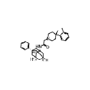 Cc1ccccc1C1(C)CCN(CC(=O)N[C@@]23C[C@H]4C[C@@H](C2)C[C@@](c2ccccc2)(C4)C3)CC1